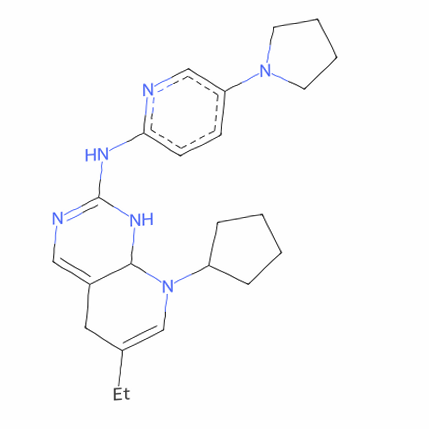 CCC1=CN(C2CCCC2)C2NC(Nc3ccc(N4CCCC4)cn3)=NC=C2C1